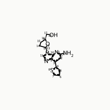 Nc1cc(-c2cccs2)c2ncn([C@H]3CC[C@@H](CO)O3)c2n1